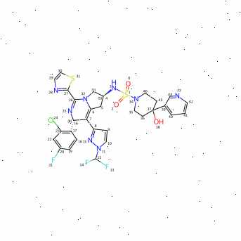 O=S(=O)(N[C@H]1CC2=C(c3ccn(C(F)F)n3)[C@H](c3ccc(F)cc3Cl)N=C(c3nccs3)N2C1)N1CCC(O)(c2cccnc2)CC1